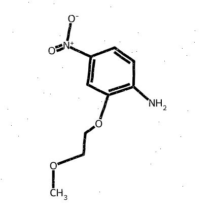 COCCOc1cc([N+](=O)[O-])ccc1N